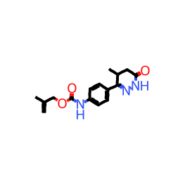 C=C(C)COC(=O)Nc1ccc(C2=NNC(=O)CC2C)cc1